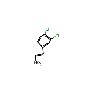 O=[N+]([O-])C=Cc1ccc(Cl)c(Cl)c1